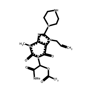 C=CCn1c(N2CCNCC2)nc2c1c(=O)n(C(OC(=O)C(F)(F)F)C(=O)NC)c(=O)n2C